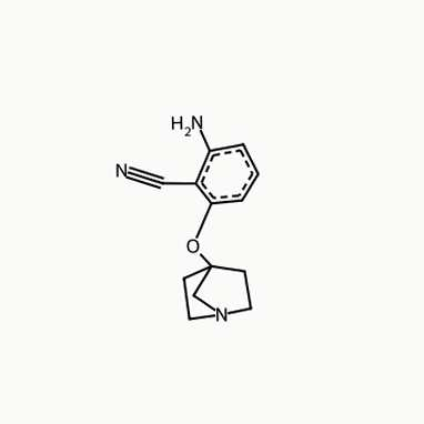 N#Cc1c(N)cccc1OC12CCN(CC1)C2